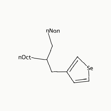 CCCCCCCCCCC(CCCCCCCC)Cc1cc[se]c1